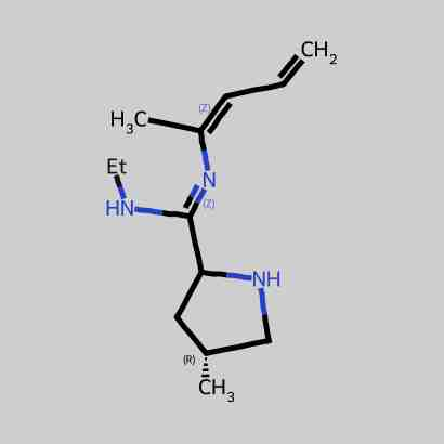 C=C/C=C(C)\N=C(/NCC)C1C[C@@H](C)CN1